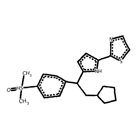 C[SH](C)(=O)c1ccc(C(CC2CCCC2)c2ccc(-c3nccs3)[nH]2)cc1